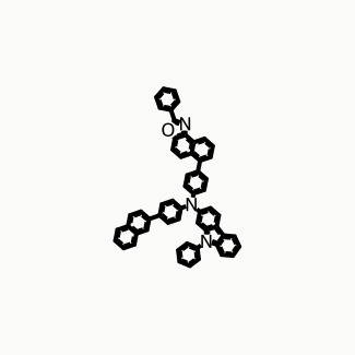 c1ccc(-c2nc3c(ccc4c(-c5ccc(N(c6ccc(-c7ccc8ccccc8c7)cc6)c6ccc7c8ccccc8n(-c8ccccc8)c7c6)cc5)cccc43)o2)cc1